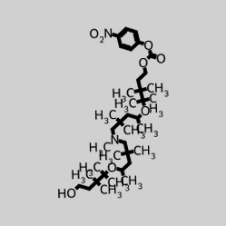 CC(CC(C)(C)CN(C)CC(C)(C)CC(C)OC(C)(C)C(C)(C)CCOC(=O)Oc1ccc([N+](=O)[O-])cc1)OC(C)(C)C(C)(C)CCO